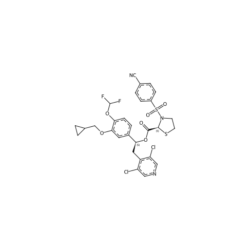 N#Cc1ccc(S(=O)(=O)N2CCS[C@H]2C(=O)O[C@@H](Cc2c(Cl)cncc2Cl)c2ccc(OC(F)F)c(OCC3CC3)c2)cc1